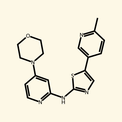 Cc1ccc(-c2cnc(Nc3cc(N4CCOCC4)ccn3)s2)cn1